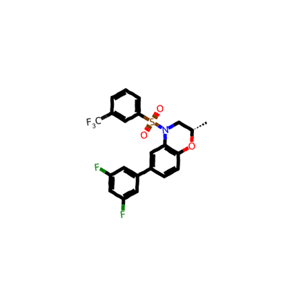 C[C@H]1CN(S(=O)(=O)c2cccc(C(F)(F)F)c2)c2cc(-c3cc(F)cc(F)c3)ccc2O1